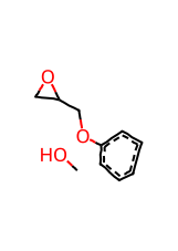 CO.c1ccc(OCC2CO2)cc1